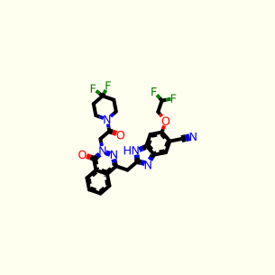 N#Cc1cc2nc(Cc3nn(CC(=O)N4CCC(F)(F)CC4)c(=O)c4ccccc34)[nH]c2cc1OCC(F)F